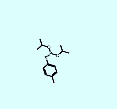 Cc1ccc(SP(OC(C)C)OC(C)C)cc1